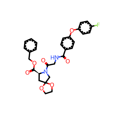 O=C(NCC(=O)N1CC2(C[C@H]1C(=O)OCc1ccccc1)OCCO2)c1ccc(Oc2ccc(F)cc2)cc1